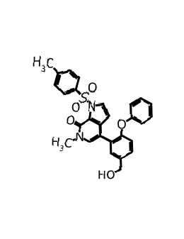 Cc1ccc(S(=O)(=O)n2ccc3c(-c4cc(CO)ccc4Oc4ccccc4)cn(C)c(=O)c32)cc1